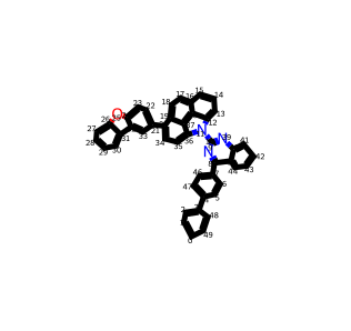 c1ccc(-c2ccc(-c3nc(-n4c5cccc6ccc7c(-c8ccc9oc%10ccccc%10c9c8)ccc4c7c65)nc4ccccc34)cc2)cc1